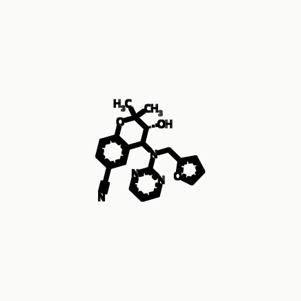 CC1(C)Oc2ccc(C#N)cc2C(N(Cc2ccco2)c2ncccn2)[C@H]1O